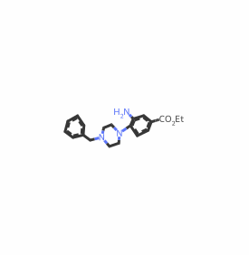 CCOC(=O)c1ccc(N2CCN(Cc3ccccc3)CC2)c(N)c1